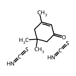 CC1=CC(=O)CC(C)(C)C1.N=C=S.N=C=S